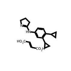 O=C(O)C=CC(=O)O.c1cc(C2CC2)c(C2CC2)cc1NC1=NCCC1